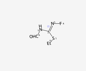 CCS/C(=N\F)NC=O